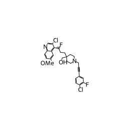 COc1ccc2ncc(Cl)c([C@@H](F)CCC3(CO)CCN(CC#Cc4ccc(Cl)c(F)c4)CC3)c2c1